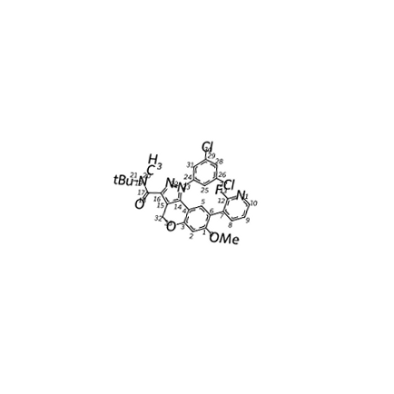 COc1cc2c(cc1-c1cccnc1F)-c1c(c(C(=O)N(C)C(C)(C)C)nn1-c1cc(Cl)cc(Cl)c1)CO2